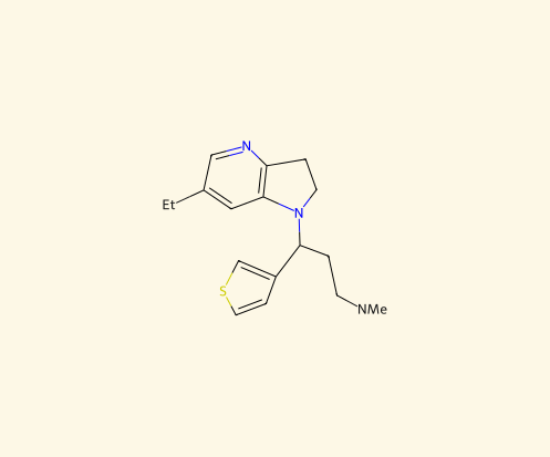 CCc1cnc2c(c1)N(C(CCNC)c1ccsc1)CC2